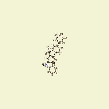 Cn1c2ccccc2c2cc3c(cc21)C(C)(C)c1cc(-c2ccccc2)ccc1-3